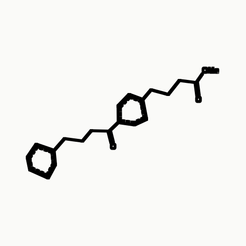 COC(=O)CCCc1ccc(C(=O)CCCc2ccccc2)cc1